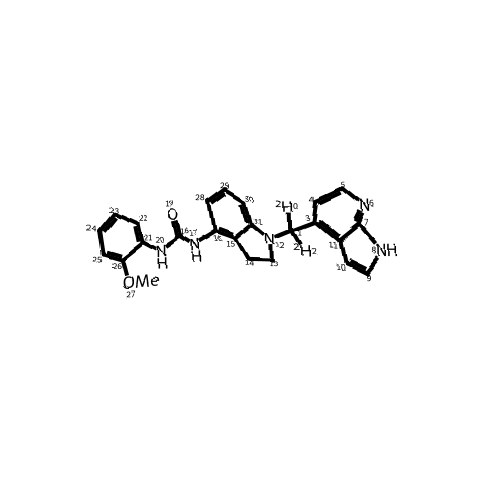 [2H]C([2H])(c1ccnc2[nH]ccc12)N1CCc2c(NC(=O)Nc3ccccc3OC)cccc21